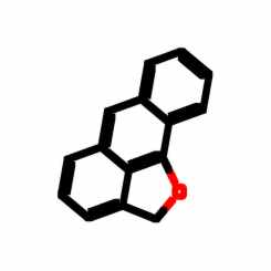 c1ccc2c3c4c(cccc4cc2c1)CO3